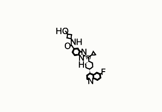 O=C(NC1CC(O)C1)c1ccc2[nH]c([C@H](C3CC3)[C@H]3CC[C@@H](c4ccnc5ccc(F)cc54)CC3)nc2c1